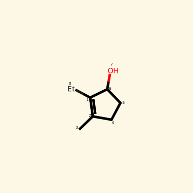 CCC1=C(C)CCC1O